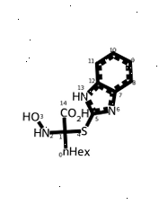 CCCCCCC(NO)(Sc1nc2ccccc2[nH]1)C(=O)O